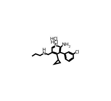 CCCNCc1cnc(N)c(-c2cccc(Cl)c2)c1C1CC1.Cl.Cl